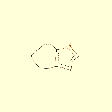 [CH]1CCc2ccsc21